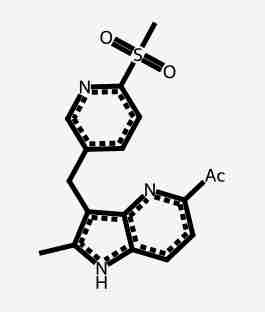 CC(=O)c1ccc2[nH]c(C)c(Cc3ccc(S(C)(=O)=O)nc3)c2n1